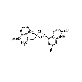 COc1ccccc1C(C)CC(O)(C=Nc1cc(F)cc2[nH]c(=O)ccc12)C(F)(F)F